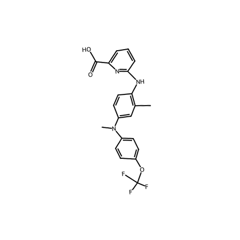 Cc1cc(N(C)c2ccc(OC(F)(F)F)cc2)ccc1Nc1cccc(C(=O)O)n1